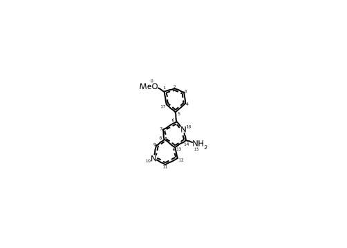 COc1cccc(-c2cc3cnccc3c(N)n2)c1